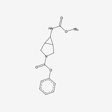 CC(C)(C)OC(=O)NC1C2CN(C(=O)Oc3ccccc3)CC21